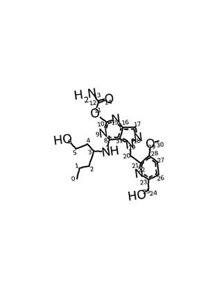 CCCC(CCO)Nc1nc(OC(N)=O)nc2cnn(Cc3nc(CO)ccc3OC)c12